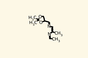 C\C=N/C(C)=C\N=C\C1COC(C)(C)O1